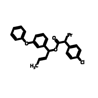 CC=CC(OC(=O)C(c1ccc(Cl)cc1)C(C)C)c1cccc(Oc2ccccc2)c1